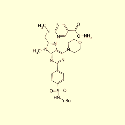 CCCCNS(=O)(=O)c1ccc(-c2nc(N3CCOCC3)c3nc(CN(C)c4ncc(C(=O)ON)cn4)n(C)c3n2)cc1